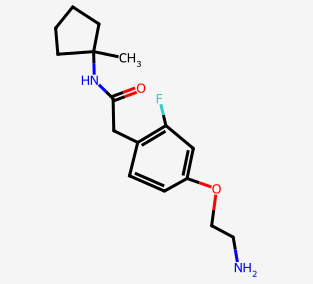 CC1(NC(=O)Cc2ccc(OCCN)cc2F)CCCC1